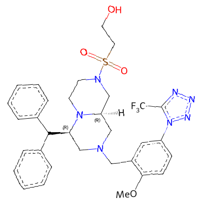 COc1ccc(-n2nnnc2C(F)(F)F)cc1CN1C[C@@H]2CN(S(=O)(=O)CCO)CCN2[C@H](C(c2ccccc2)c2ccccc2)C1